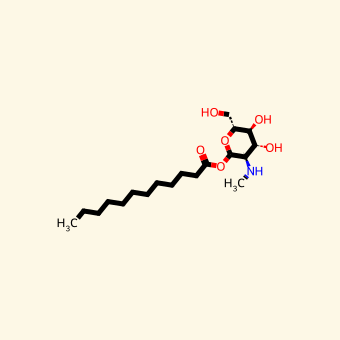 CCCCCCCCCCCC(=O)OC1O[C@H](CO)[C@@H](O)[C@H](O)[C@H]1NC